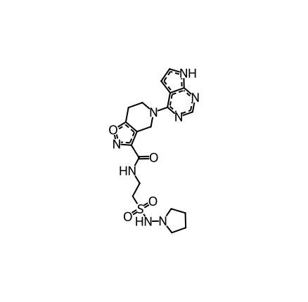 O=C(NCCS(=O)(=O)NN1CCCC1)c1noc2c1CN(c1ncnc3[nH]ccc13)CC2